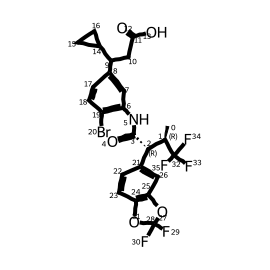 C[C@H]([C@@H](C(=O)Nc1cc(C(CC(=O)O)C2CC2)ccc1Br)c1ccc2c(c1)OC(F)(F)O2)C(F)(F)F